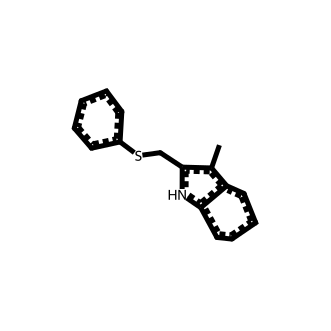 Cc1c(CSc2ccccc2)[nH]c2ccccc12